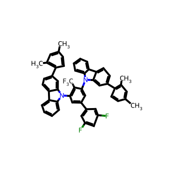 Cc1ccc(-c2ccc3c4ccccc4n(-c4cc(-c5cc(F)cc(F)c5)cc(-n5c6ccccc6c6ccc(-c7ccc(C)cc7C)cc65)c4C(F)(F)F)c3c2)c(C)c1